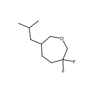 CC(C)CC1CCC(F)(F)COC1